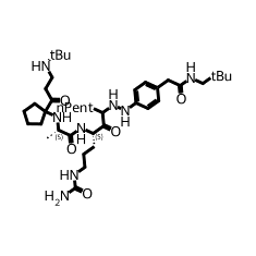 CCCCCC(NNc1ccc(CC(=O)NCC(C)(C)C)cc1)C(=O)[C@H](CCCNC(N)=O)NC(=O)[C@H](C)NC1(C(=O)CCNC(C)(C)C)CCCC1